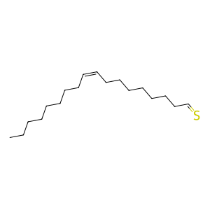 CCCCCCCC/C=C\CCCCCCCC=S